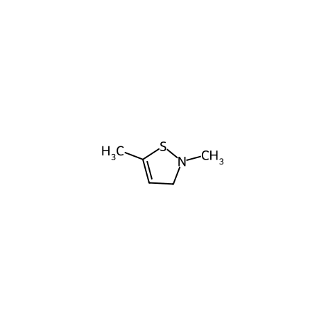 CC1=CCN(C)S1